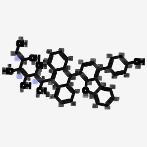 C\C(=C(O)/C(O)=C(O)\C(O)=C\O)c1c2ccccc2c(-c2ccc(-c3ccc(O)cc3)c3c2oc2ccccc23)c2ccccc12